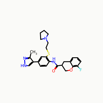 Cc1n[nH]cc1-c1ccc(NC(=O)C2COc3c(F)cccc3C2)c(SCCN2CCCC2)c1